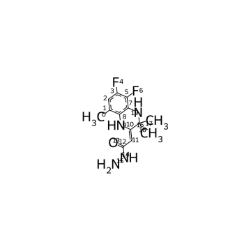 Cc1cc(F)c(F)c2c1NC(=CC(=O)NN)C(C)(C)N2